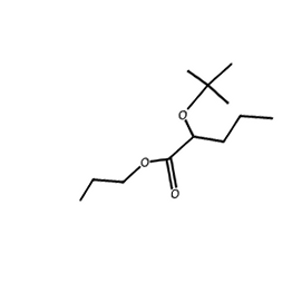 CCCOC(=O)C(CCC)OC(C)(C)C